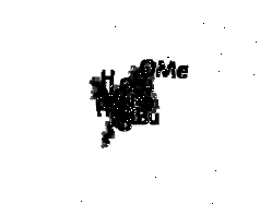 C=CCCCCN(NC(=O)N1CC(Oc2cc(-c3ccccc3)nc3cc(OC)ccc23)CC1C(=O)NC1(C(=O)OCC)CC1C=C)C(=O)OC(C)(C)C